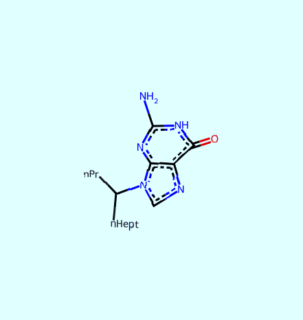 CCCCCCCC(CCC)n1cnc2c(=O)[nH]c(N)nc21